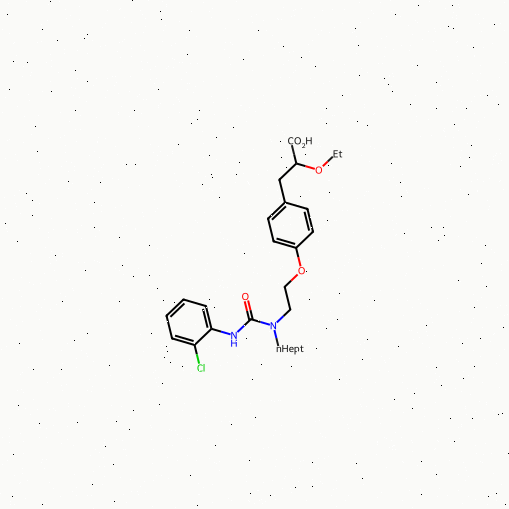 CCCCCCCN(CCOc1ccc(CC(OCC)C(=O)O)cc1)C(=O)Nc1ccccc1Cl